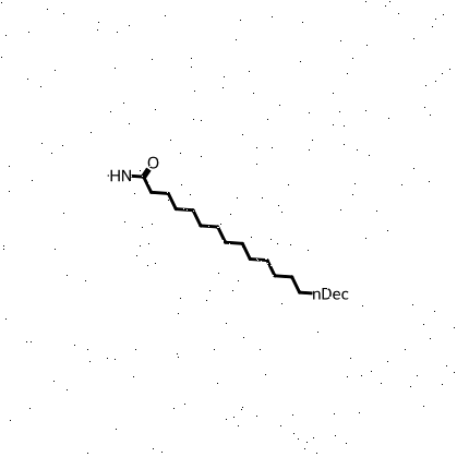 CCCCCCCCCCCCCCCCCCCCCCCC([NH])=O